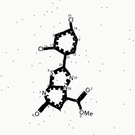 COC(=O)c1cc(=O)nc2sc(-c3ccc(Cl)cc3Cl)nn12